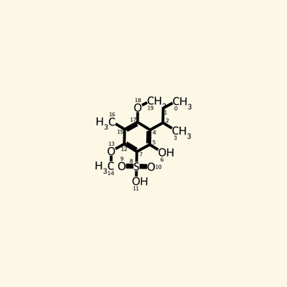 CCC(C)c1c(O)c(S(=O)(=O)O)c(OC)c(C)c1OC